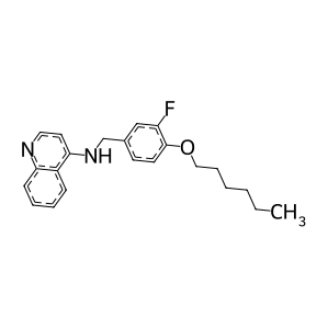 CCCCCCOc1ccc(CNc2ccnc3ccccc23)cc1F